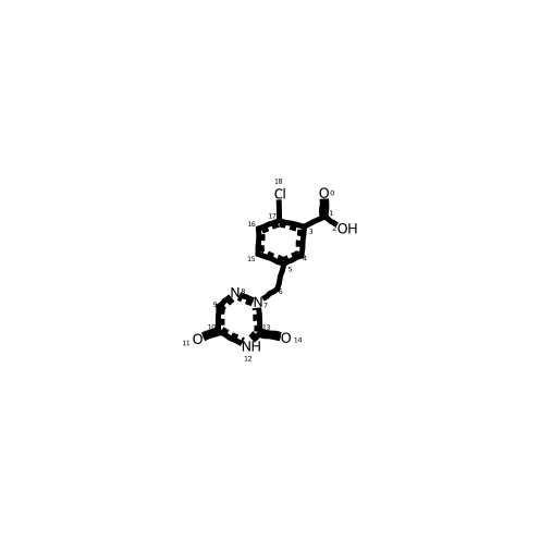 O=C(O)c1cc(Cn2ncc(=O)[nH]c2=O)ccc1Cl